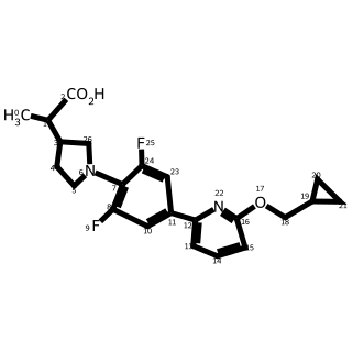 CC(C(=O)O)C1CCN(c2c(F)cc(-c3cccc(OCC4CC4)n3)cc2F)C1